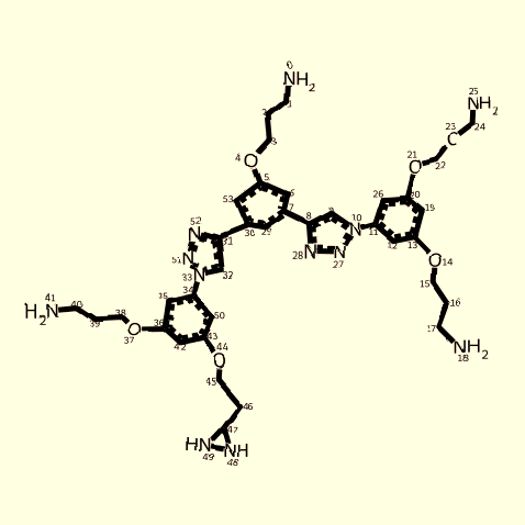 NCCCOc1cc(-c2cn(-c3cc(OCCCN)cc(OCCCN)c3)nn2)cc(-c2cn(-c3cc(OCCCN)cc(OCCC4NN4)c3)nn2)c1